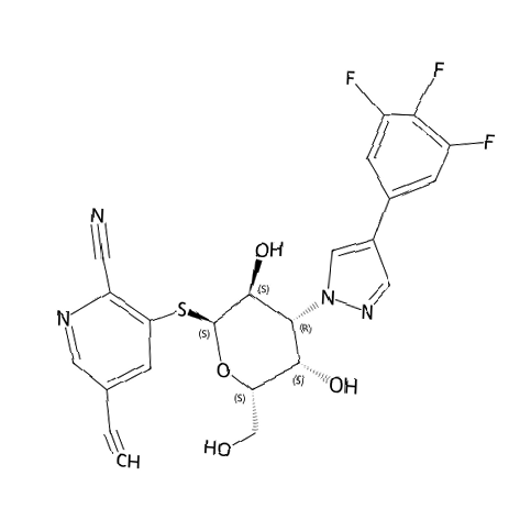 C#Cc1cnc(C#N)c(S[C@@H]2O[C@@H](CO)[C@@H](O)[C@@H](n3cc(-c4cc(F)c(F)c(F)c4)cn3)[C@@H]2O)c1